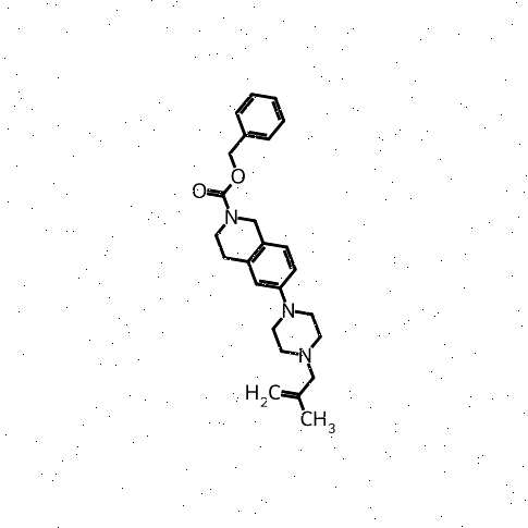 C=C(C)CN1CCN(c2ccc3c(c2)CCN(C(=O)OCc2ccccc2)C3)CC1